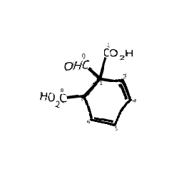 O=CC1(C(=O)O)C=CC=CC1C(=O)O